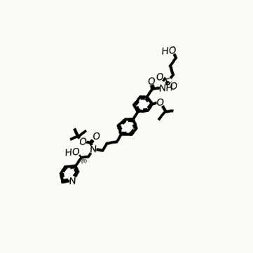 CC(C)Oc1cc(-c2ccc(CCCN(C[C@H](O)c3cccnc3)C(=O)OC(C)(C)C)cc2)ccc1C(=O)NS(=O)(=O)CCCO